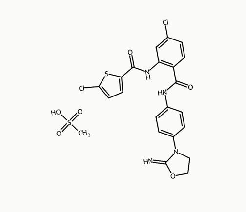 CS(=O)(=O)O.N=C1OCCN1c1ccc(NC(=O)c2ccc(Cl)cc2NC(=O)c2ccc(Cl)s2)cc1